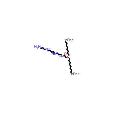 CCCCCCCCCCCCCCCCCCN(CCCCCCCCCCCCCCCCCC)CC(=O)NCCCNCCCCNCCCN